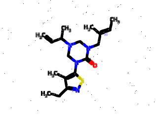 C=CC(C)N1CN(C/C(C)=C/C)C(=O)N(c2snc(CC)c2C)C1